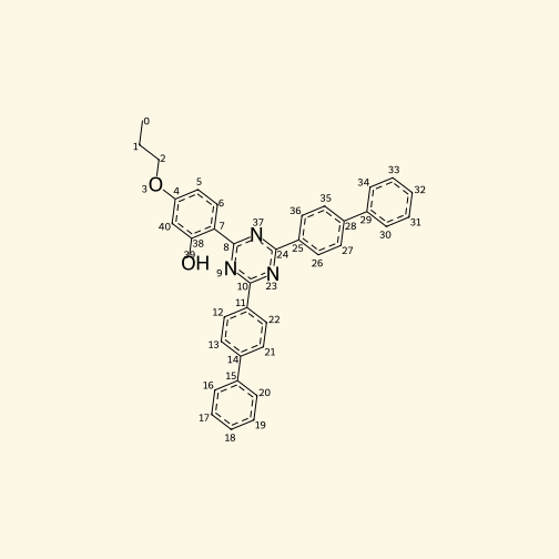 CCCOc1ccc(-c2nc(-c3ccc(-c4ccccc4)cc3)nc(-c3ccc(-c4ccccc4)cc3)n2)c(O)c1